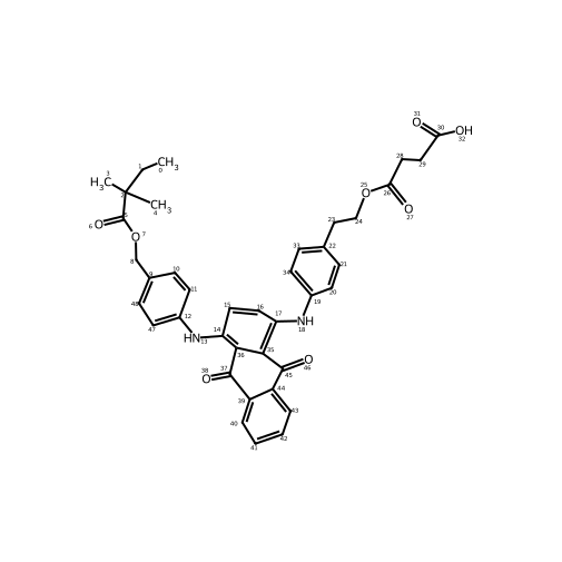 CCC(C)(C)C(=O)OCc1ccc(Nc2ccc(Nc3ccc(CCOC(=O)CCC(=O)O)cc3)c3c2C(=O)c2ccccc2C3=O)cc1